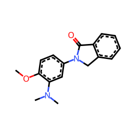 COc1ccc(N2Cc3ccccc3C2=O)cc1N(C)C